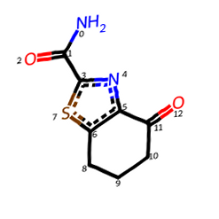 NC(=O)c1nc2c(s1)CCCC2=O